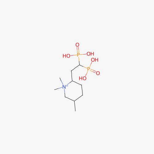 CC1CCC(CC(P(=O)(O)O)P(=O)(O)O)[N+](C)(C)C1